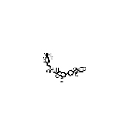 Nc1ccc(C=CC(=O)NCc2cc3cc(-c4ccc(S(=O)(=O)N5CCOCC5)cc4)cc(Cl)c3o2)cn1